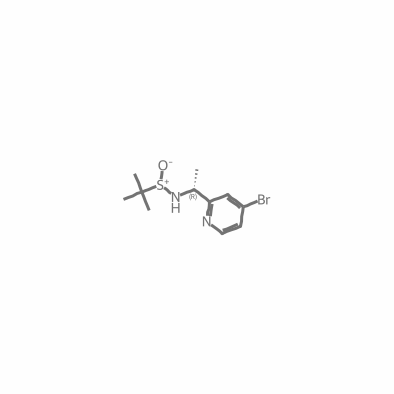 C[C@@H](N[S+]([O-])C(C)(C)C)c1cc(Br)ccn1